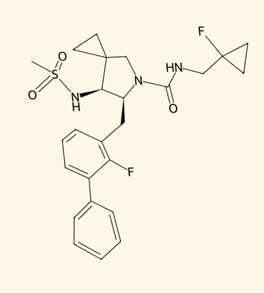 CS(=O)(=O)N[C@@H]1[C@H](Cc2cccc(-c3ccccc3)c2F)N(C(=O)NCC2(F)CC2)CC12CC2